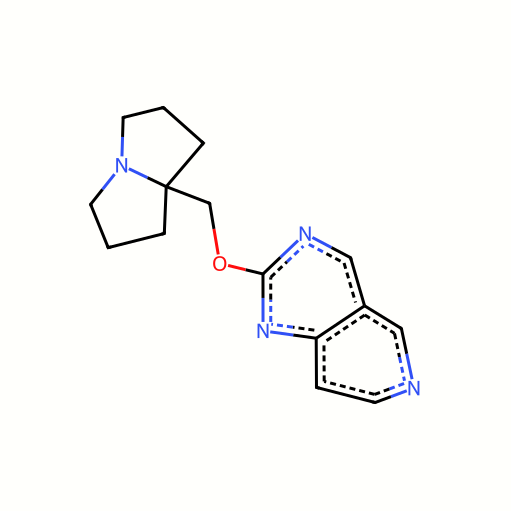 c1cc2nc(OCC34CCCN3CCC4)ncc2cn1